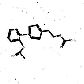 CC(=N)Sc1ccccc1-c1ccc(CCSC(=N)N)cc1